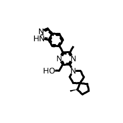 Cc1nc(N2CCC3(CCC[C@H]3C)CC2)c(CO)nc1-c1ccc2cn[nH]c2c1